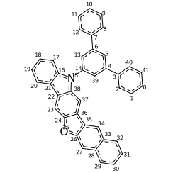 c1ccc(-c2cc(-c3ccccc3)cc(-n3c4ccccc4c4cc5oc6cc7ccccc7cc6c5cc43)c2)cc1